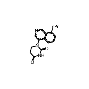 CCCc1cccc2c(N3CCC(=O)NC3=O)cncc12